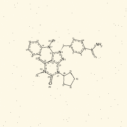 C=C(N)c1ccc(Cn2nc3c(c2N(c2ccccc2)C(C)C)c(=S)n(C)c(=O)n3C2CCCC2)cc1